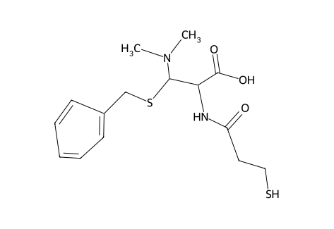 CN(C)C(SCc1ccccc1)C(NC(=O)CCS)C(=O)O